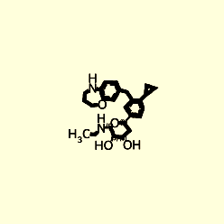 CCN[C@H]1O[C@@H](c2ccc(C3CC3)c(Cc3ccc4c(c3)OCCCN4)c2)C[C@@H](O)[C@@H]1O